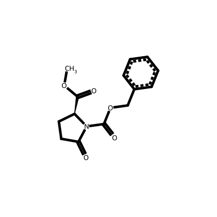 COC(=O)[C@@H]1CCC(=O)N1C(=O)OCc1ccccc1